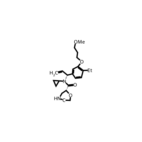 C=C[C@H](c1ccc(CC)c(OCCCOC)c1)N(C(=O)[C@H]1CNCCO1)C1CC1